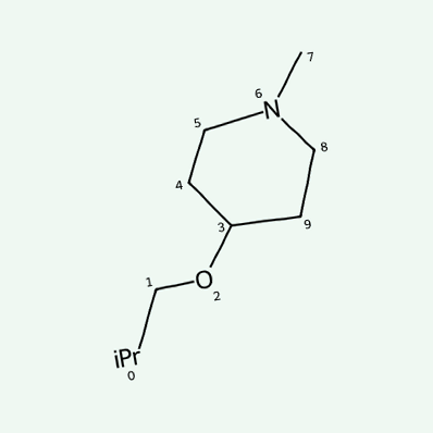 CC(C)COC1CCN(C)CC1